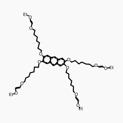 CCO/C=C/OCCCCCCCOc1cc2cc3cc(OCCCCCCCO/C=C/OCC)c(OCCCCCCCO/C=C/OCC)cc3cc2cc1OCCCCCCCO/C=C/OCC